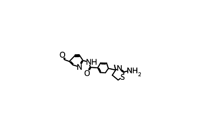 CC1(C2C=CC(C(=O)Nc3c#cc(C=O)cn3)=CC2)CCSC(N)=N1